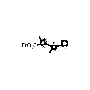 CCOC(=O)c1sc(-c2sc(-c3cccs3)cc2C)nc1C